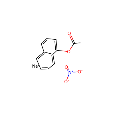 CC(=O)Oc1cccc2ccccc12.O=[N+]([O-])[O-].[Na+]